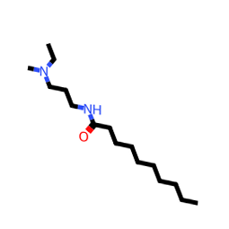 CCCCCCCCCC(=O)NCCCN(C)CC